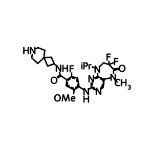 COc1cc(C(=O)NC2CC3(CCNCC3)C2)c(F)cc1Nc1ncc2c(n1)N(C(C)C)CC(F)(F)C(=O)N2C